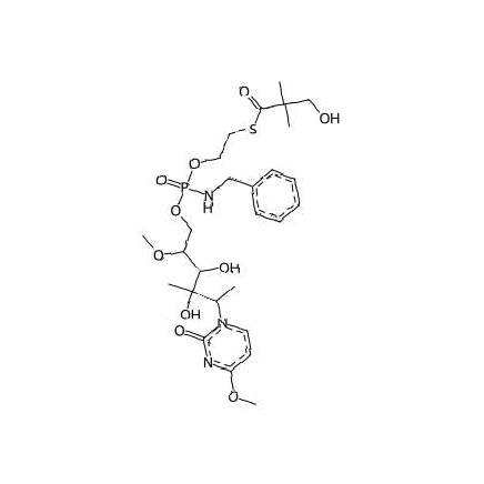 COc1ccn(C(C)C(C)(O)C(O)C(COP(=O)(NCc2ccccc2)OCCSC(=O)C(C)(C)CO)OC)c(=O)n1